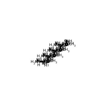 CSc1ccc(NC(=O)[C@H](CCCNC(=N)N)NC(=O)c2cc(NC(=O)[C@H](CCCNC(=N)N)NC(=O)c3cc(NC(=O)[C@H](CCCNC(=N)N)NC(=O)c4cc(NC(=O)[C@@H](N)CCCNC(=N)N)ccc4SC)ccc3SC)ccc2SC)cc1C(N)=O